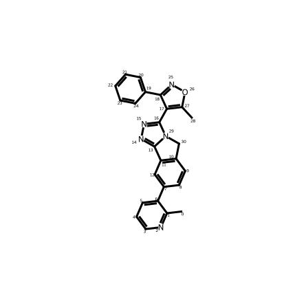 Cc1ncccc1-c1ccc2c(c1)-c1nnc(-c3c(-c4ccccc4)noc3C)n1C2